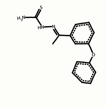 C/C(=N\NC(N)=S)c1cccc(Oc2ccccc2)c1